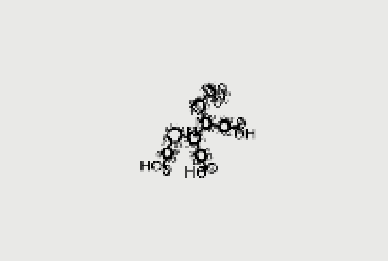 O=C(O)c1ccc(C2=CC=C=CC(c3cc(-c4ccc(C(=O)O)cc4)cc(-c4cc(-c5ccc(C(=O)O)cc5)cc(-c5cc(-c6scc7c6OCCO7)ccn5)n4)n3)=C2)cc1